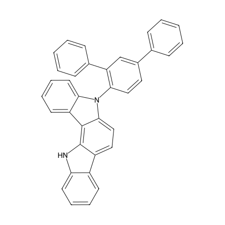 c1ccc(-c2ccc(-n3c4ccccc4c4c5[nH]c6ccccc6c5ccc43)c(-c3ccccc3)c2)cc1